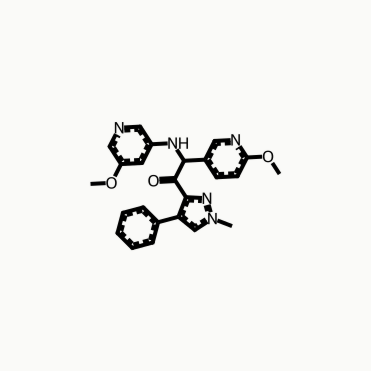 COc1cncc(NC(C(=O)c2nn(C)cc2-c2ccccc2)c2ccc(OC)nc2)c1